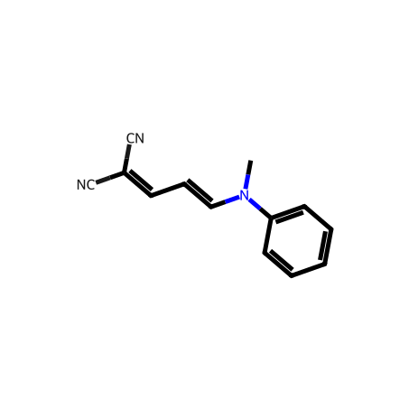 CN(C=CC=C(C#N)C#N)c1ccccc1